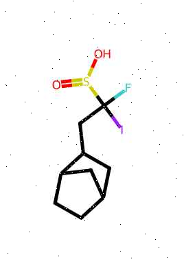 O=S(O)C(F)(I)CC1CC2CCC1C2